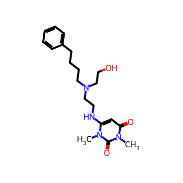 Cn1c(NCCN(CCO)CCCCc2ccccc2)cc(=O)n(C)c1=O